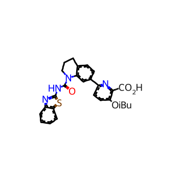 CC(C)COc1ccc(-c2ccc3c(c2)N(C(=O)Nc2nc4ccccc4s2)CCC3)nc1C(=O)O